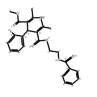 COC(=O)C1=C(C)NC(C)=C(C(=O)OCCOC(=O)c2ccccc2)C1c1ccccc1F